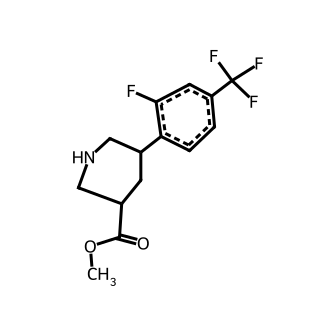 COC(=O)C1CNCC(c2ccc(C(F)(F)F)cc2F)C1